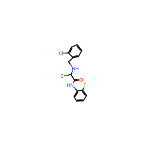 O=C(Nc1ccccc1F)C(Cl)NCc1ccccc1Cl